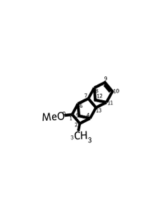 COC1C(C)C2CC1C1C3C=CC(C3)C21